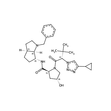 CC(C)(C)[C@@H](C(=O)N1C[C@H](O)C[C@H]1C(=O)N[C@@H]1CC[C@H]2CCN(Cc3ccccc3)[C@H]21)n1cc(C2CC2)nn1